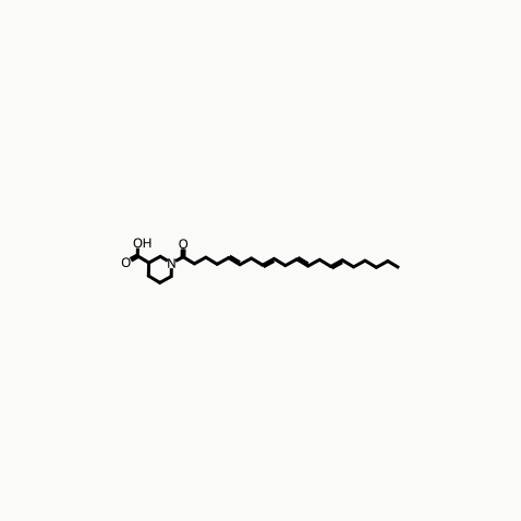 CCCCC/C=C/C/C=C/C/C=C/C/C=C/CCCC(=O)N1CCCC(C(=O)O)C1